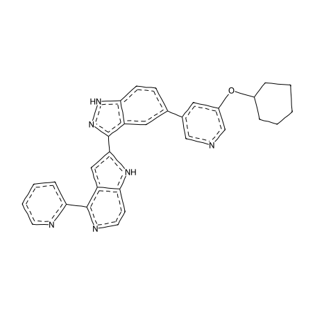 c1ccc(-c2nccc3[nH]c(-c4n[nH]c5ccc(-c6cncc(OC7CCCCC7)c6)cc45)cc23)nc1